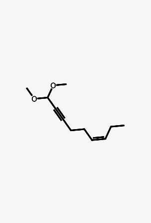 CC/C=C\CCC#CC(OC)OC